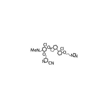 CNCc1cc(Cl)c(O[C@H]2CCc3c(-c4cccc(OCCCn5ccnc5)c4Cl)cccc32)cc1OCc1cncc(C#N)c1